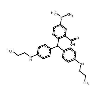 CCCNc1ccc(C(c2ccc(NCCC)cc2)c2ccc(N(C)C)cc2C(=O)O)cc1